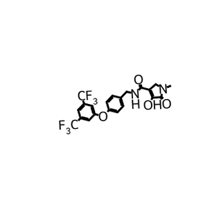 CN1CC(C(=O)NCc2ccc(Oc3cc(C(F)(F)F)cc(C(F)(F)F)c3)cc2)=C(O)C1=O